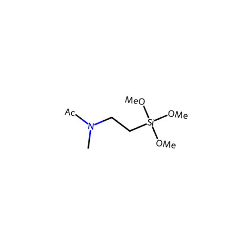 CO[Si](CCN(C)C(C)=O)(OC)OC